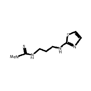 CNC(=S)NCCCNc1nccs1